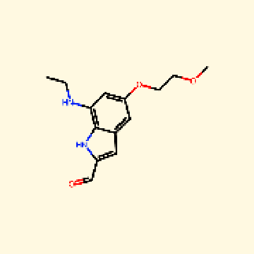 CCNc1cc(OCCOC)cc2cc(C=O)[nH]c12